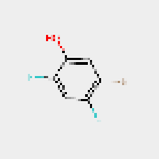 Oc1cc(Br)c(F)cc1F